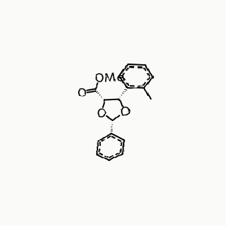 COC(=O)[C@H]1O[C@@H](c2ccccc2)O[C@H]1c1ccccc1C